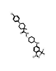 CC1(C(=O)NC[C@H]2CC[C@H](Nc3ccc([N+](=O)[O-])c(C(F)(F)F)c3)CC2)CCN(c2ccc(Cl)cc2)CC1